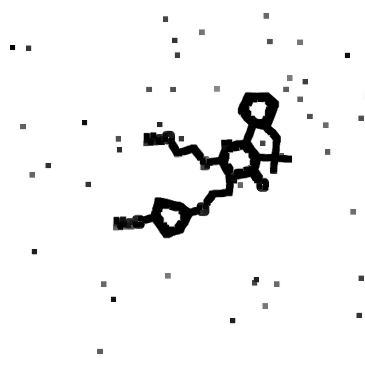 COCCSc1nc2c(c(=O)n1CCOc1ccc(OC)cc1)C(C)(C)Cc1ccccc1-2